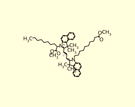 CCCCCCCCC(C(=O)OC)[N+]1=C(/C=C/C=C2\N(CCCCCCCCCC(=O)OC)c3ccc4ccccc4c3C2(C)C)C(C)(C)c2c1ccc1ccccc21